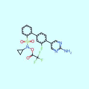 Nc1ncc(-c2ccc(-c3ccccc3S(=O)(=O)N(OC(=O)C(F)(F)F)C3CC3)cc2F)cn1